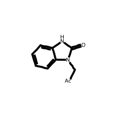 CC(=O)Cn1c(=O)[nH]c2ccccc21